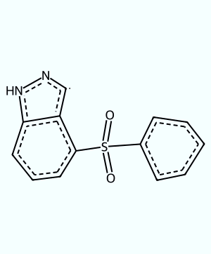 O=S(=O)(c1ccccc1)c1cccc2[nH]n[c]c12